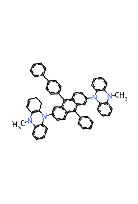 CN1C2=C(CCC=C2)N(c2ccc3c(-c4ccccc4)c4cc(N5c6ccccc6N(C)c6ccccc65)ccc4c(-c4ccc(-c5ccccc5)cc4)c3c2)c2ccccc21